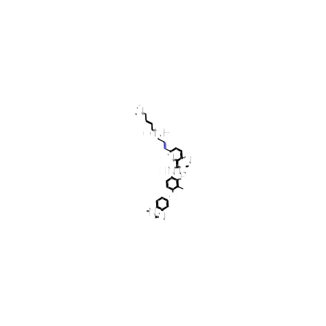 Cc1c(Oc2ccc3c(c2)ncn3C)ccc(Nc2ncnc3ccc(/C=C/CNC(=O)C=CCN(C)C)nc23)c1F